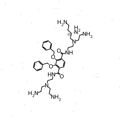 NCC[C@H](N)CN(CCN)CCNC(=O)c1ccc(C(=O)NCCN(CCN)CCN)c(OCc2ccccc2)c1OCc1ccccc1